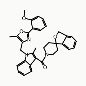 COc1ccccc1-c1nc(Cn2c(C)c(C(=O)N3CCC4(CC3)OCc3ccccc34)c3ccccc32)c(C)o1